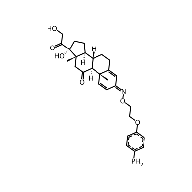 C[C@]12C=C/C(=N\OCCOc3ccc(P)cc3)C=C1CC[C@@H]1[C@@H]2C(=O)C[C@@]2(C)[C@H]1CC[C@]2(O)C(=O)CO